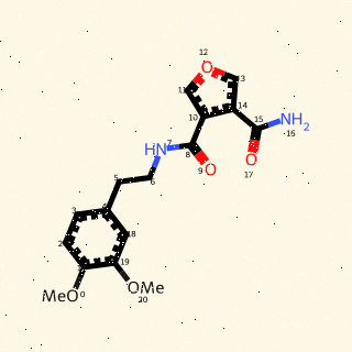 COc1ccc(CCNC(=O)c2cocc2C(N)=O)cc1OC